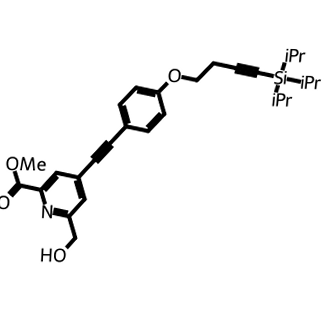 COC(=O)c1cc(C#Cc2ccc(OCCC#C[Si](C(C)C)(C(C)C)C(C)C)cc2)cc(CO)n1